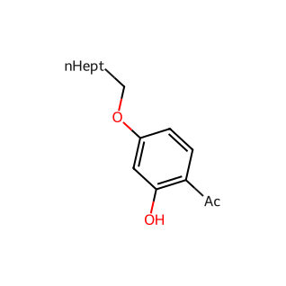 CCCCCCCCOc1ccc(C(C)=O)c(O)c1